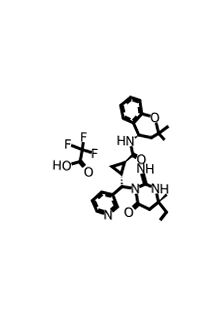 CC[C@]1(C)CC(=O)N(C(c2cccnc2)[C@@H]2C[C@H]2C(=O)N[C@H]2CC(C)(C)Oc3ccccc32)C(=N)N1.O=C(O)C(F)(F)F